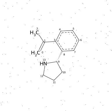 C=C(C)c1ccccc1[C@@H]1CCCN1